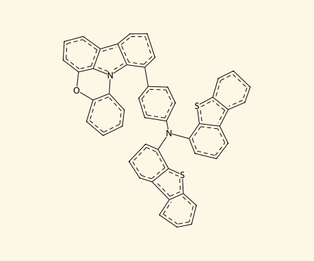 c1ccc2c(c1)Oc1cccc3c4cccc(-c5ccc(N(c6cccc7c6sc6ccccc67)c6cccc7c6sc6ccccc67)cc5)c4n-2c13